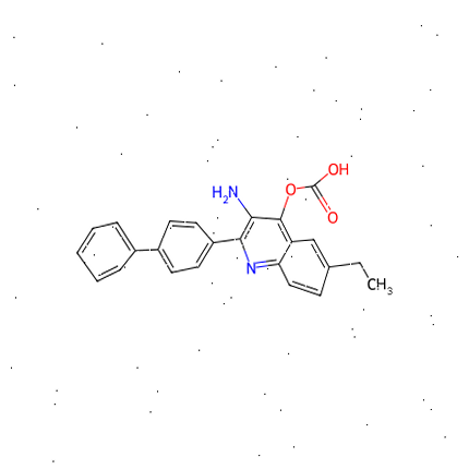 CCc1ccc2nc(-c3ccc(-c4ccccc4)cc3)c(N)c(OC(=O)O)c2c1